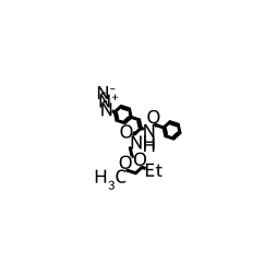 CCC1CC(C)OC(CNC(=O)/C(=C\c2ccc(N=[N+]=[N-])cc2)NC(=O)c2ccccc2)O1